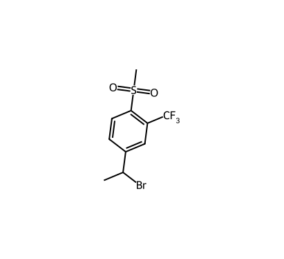 CC(Br)c1ccc(S(C)(=O)=O)c(C(F)(F)F)c1